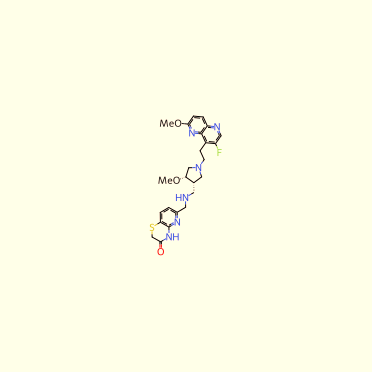 COc1ccc2ncc(F)c(CCN3C[C@H](CNCc4ccc5c(n4)NC(=O)CS5)[C@H](OC)C3)c2n1